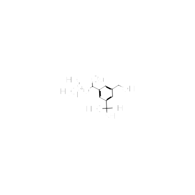 C[SiH](C)OC(c1cc(CO)cc(C(C)(C)S)c1)C(C)(C)C